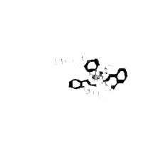 Cc1c(N(Cc2cc3ccccc3n2C)S(=O)(=O)c2ccc(C(=O)O)cc2)ncc2ccccc12